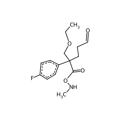 CCOCC(CCC=O)(C(=O)ONC)c1ccc(F)cc1